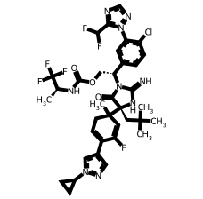 C[C@H](NC(=O)OC[C@H](c1ccc(Cl)c(-n2ncnc2C(F)F)c1)N1C(=N)N[C@](CC(C)(C)C)(C2(C)C=C(F)C(c3cnn(C4CC4)c3)=CC2)C1=O)C(F)(F)F